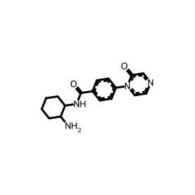 NC1CCCCC1NC(=O)c1ccc(-n2ccncc2=O)cc1